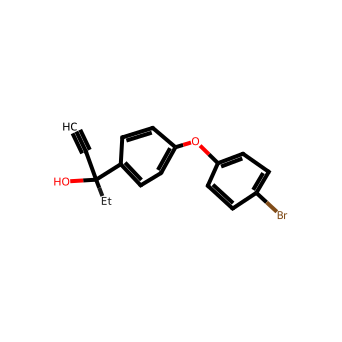 C#CC(O)(CC)c1ccc(Oc2ccc(Br)cc2)cc1